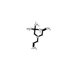 C=CCN(CC=C)CC(C)(C)C